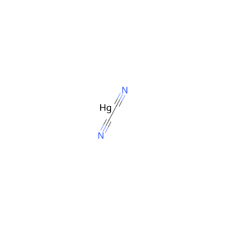 N#CC#N.[Hg]